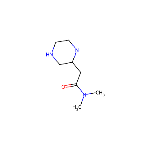 CN(C)C(=O)CC1CNCC[N]1